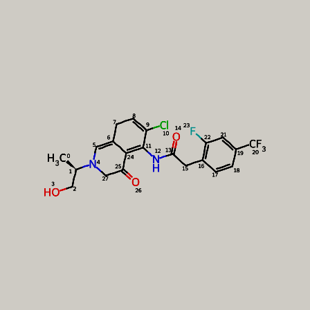 C[C@H](CO)N1C=C2CC=C(Cl)C(NC(=O)Cc3ccc(C(F)(F)F)cc3F)=C2C(=O)C1